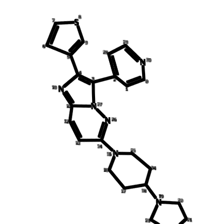 c1cc(-c2c(-c3ccsc3)nc3ccc(N4CCC(N5CCCC5)CC4)nn23)ccn1